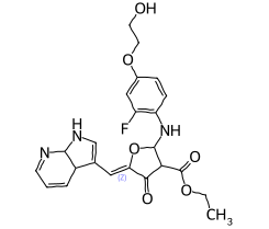 CCOC(=O)C1C(=O)/C(=C/C2=CNC3N=CC=CC23)OC1Nc1ccc(OCCO)cc1F